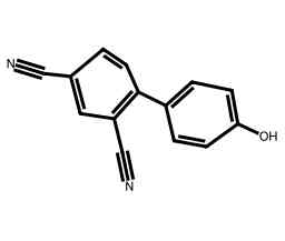 N#Cc1ccc(-c2ccc(O)cc2)c(C#N)c1